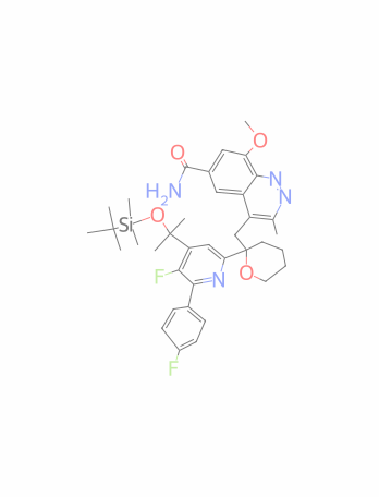 COc1cc(C(N)=O)cc2c(CC3(c4cc(C(C)(C)O[Si](C)(C)C(C)(C)C)c(F)c(-c5ccc(F)cc5)n4)CCCCO3)c(C)nnc12